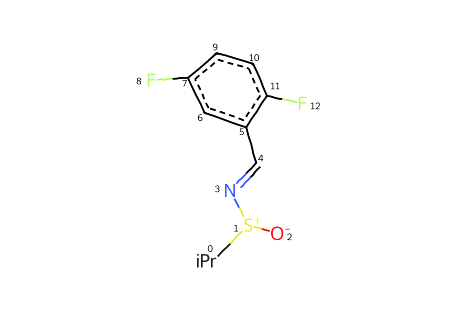 CC(C)[S+]([O-])/N=C/c1cc(F)ccc1F